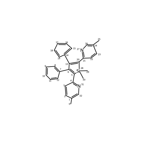 Cc1ccc(C2=C(c3ccccc3)C(c3ccccc3)=C(c3ccc(C)cn3)[Si]2(C)C)nc1